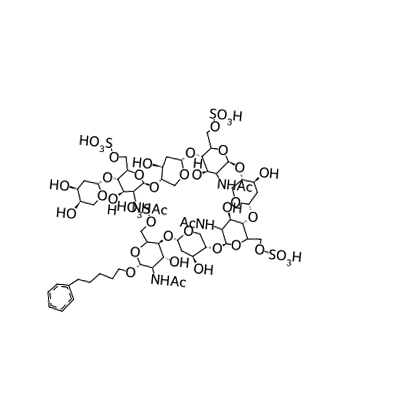 CC(=O)NC1[C@H](OCCCCCc2ccccc2)OC(COS(=O)(=O)O)[C@@H](O[C@H]2C[C@H](O)[C@@H](O[C@@H]3OC(COS(=O)(=O)O)[C@@H](O[C@H]4C[C@H](O)[C@@H](O[C@@H]5OC(COS(=O)(=O)O)[C@@H](O[C@H]6C[C@H](O)[C@@H](O[C@@H]7OC(COS(=O)(=O)O)[C@@H](O[C@H]8C[C@H](O)[C@H](O)CO8)[C@H](O)C7NC(C)=O)CO6)[C@H](O)C5NC(C)=O)CO4)[C@H](O)C3NC(C)=O)CO2)[C@@H]1O